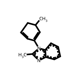 Cc1nc2ccccc2n1C1=CC(C)CC=C1